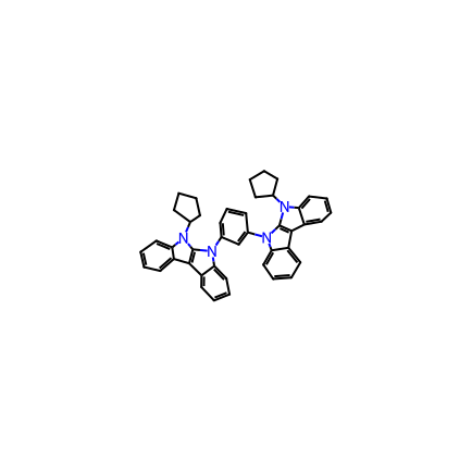 c1cc(-n2c3ccccc3c3c4ccccc4n(C4CCCC4)c32)cc(-n2c3ccccc3c3c4ccccc4n(C4CCCC4)c32)c1